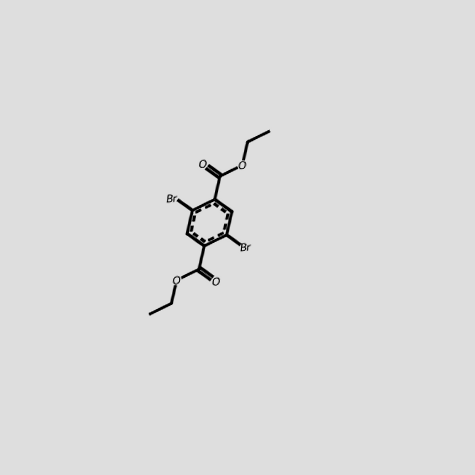 CCOC(=O)c1cc(Br)c(C(=O)OCC)cc1Br